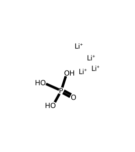 O=P(O)(O)O.[Li+].[Li+].[Li+].[Li+]